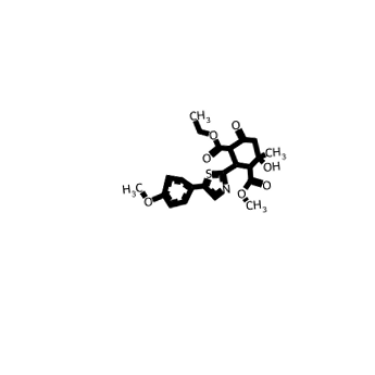 CCOC(=O)C1C(=O)CC(C)(O)C(C(=O)OC)C1c1ncc(-c2ccc(OC)cc2)s1